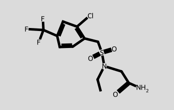 CCN(CC(N)=O)S(=O)(=O)Cc1ccc(C(F)(F)F)cc1Cl